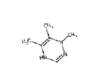 CC1=C(C)N(C)N=CN1